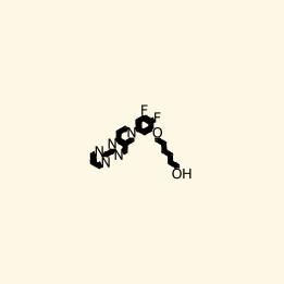 OCCCCCCOc1cc(N2CCc3nc(-c4ncccn4)ncc3C2)cc(F)c1F